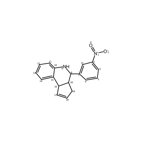 O=[N+]([O-])c1cccc(C2Nc3ccccc3C3C=CCC32)c1